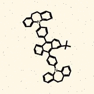 CC(C)(C)c1ccc2c(-c3ccc(N4c5ccccc5CCc5ccccc54)cc3)c3ccccc3c(-c3ccc(N4c5ccccc5CCc5ccccc54)cc3)c2c1